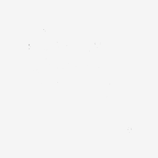 C1=NCCO1.CCCCCCCC[S+]([O-])C(C)Cc1ccc2c(c1)OCO2